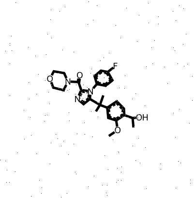 COc1cc(C(C)(C)c2cnc(C(=O)N3CCOCC3)n2-c2ccc(F)cc2)ccc1C(C)O